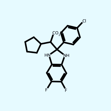 O=C(O)C(C1CCCC1)C1(c2ccc(Cl)cc2)Nc2cc(F)c(F)cc2N1